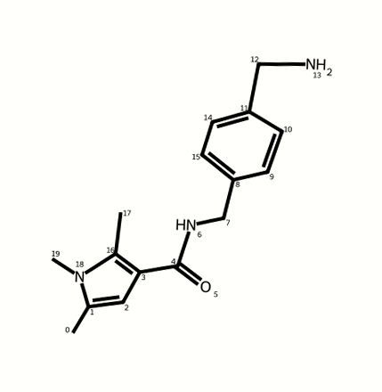 Cc1cc(C(=O)NCc2ccc(CN)cc2)c(C)n1C